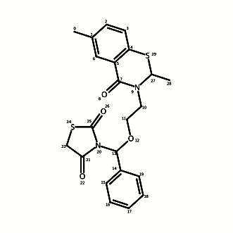 Cc1ccc2c(c1)C(=O)N(CCOC(c1ccccc1)N1C(=O)CSC1=O)C(C)S2